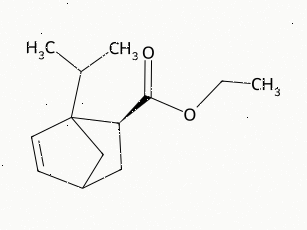 CCOC(=O)[C@H]1CC2C=CC1(C(C)C)C2